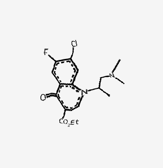 CCOC(=O)c1cn(C(C)CN(C)C)c2cc(Cl)c(F)cc2c1=O